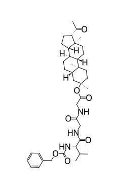 CC(=O)[C@H]1CC[C@H]2[C@@H]3CC[C@H]4C[C@](C)(OC(=O)CNC(=O)CNC(=O)[C@@H](NC(=O)OCc5ccccc5)C(C)C)CC[C@]4(C)[C@H]3CC[C@]12C